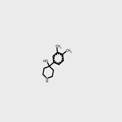 Cc1ccc(C2(O)CCNCC2)cc1C